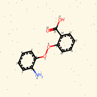 Nc1ccccc1OOc1ccccc1C(=O)O